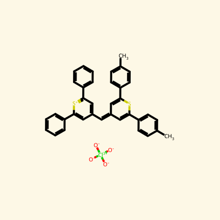 Cc1ccc(C2=CC(=Cc3cc(-c4ccccc4)[s+]c(-c4ccccc4)c3)C=C(c3ccc(C)cc3)S2)cc1.[O-][Cl+3]([O-])([O-])[O-]